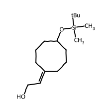 CC(C)(C)[Si](C)(C)OC1CCCC(=CCO)CCC1